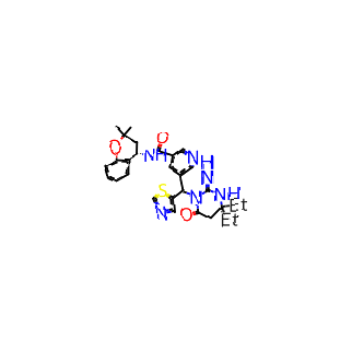 CCC1(CC)CC(=O)N(C(c2cncc(C(=O)N[C@H]3CC(C)(C)Oc4ccccc43)c2)c2cncs2)C(=N)N1